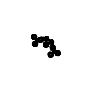 c1ccc(N(c2ccccc2)c2ccc(-n3ccc4c5ccn(-c6ccc(N(c7ccccc7)c7ccccc7)cc6)c5c5ccccc5c43)cc2)cc1